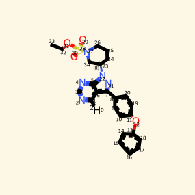 [2H]c1ncnc2c1c(-c1ccc(Oc3ccccc3)cc1)nn2[C@@H]1CCCN(S(=O)(=O)OCC)C1